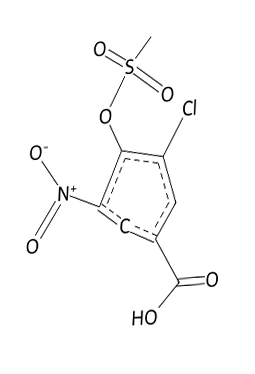 CS(=O)(=O)Oc1c(Cl)cc(C(=O)O)cc1[N+](=O)[O-]